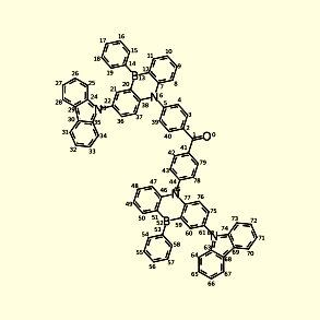 O=C(c1ccc(N2c3ccccc3B(c3ccccc3)c3cc(-n4c5ccccc5c5ccccc54)ccc32)cc1)c1ccc(N2c3ccccc3B(c3ccccc3)c3cc(-n4c5ccccc5c5ccccc54)ccc32)cc1